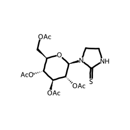 CC(=O)OC[C@H]1O[C@@H](N2CCNC2=S)[C@H](OC(C)=O)[C@@H](OC(C)=O)[C@@H]1OC(C)=O